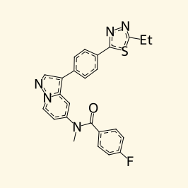 CCc1nnc(-c2ccc(-c3cnn4ccc(N(C)C(=O)c5ccc(F)cc5)cc34)cc2)s1